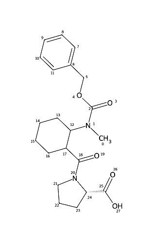 CN(C(=O)OCc1ccccc1)C1CCCCC1C(=O)N1CCC[C@H]1C(=O)O